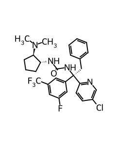 CN(C)[C@@H]1CCC[C@H]1NC(=O)N[C@](Cc1ccccc1)(c1cc(F)cc(C(F)(F)F)c1)c1ccc(Cl)cn1